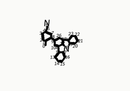 Cc1ccc(C#N)cc1-c1cc2c3ccccc3n3c4ccccc4c(c1)c23